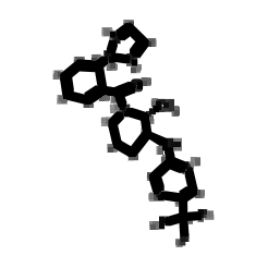 C[C@@H]1[C@@H](Nc2cnc(C(F)(F)F)cn2)CCCN1C(=O)c1ccccc1-n1nccn1